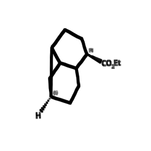 CCOC(=O)[C@@H]1CCC2C3C[C@@H]2CCC31